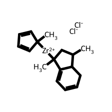 CC1C[C](C)([Zr+2][C]2(C)C=CC=C2)C2=CC=CCC21.[Cl-].[Cl-]